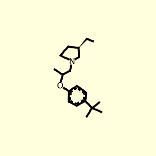 CC[C@@H]1CCN(CC(C)Oc2ccc(C(C)(C)C)cc2)C1